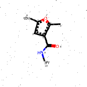 Cc1oc(C(C)(C)C)cc1C(=O)NC(C)C